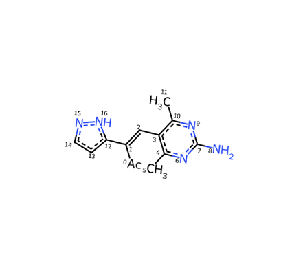 CC(=O)/C(=C\c1c(C)nc(N)nc1C)c1ccn[nH]1